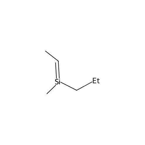 CC=[Si](C)CCC